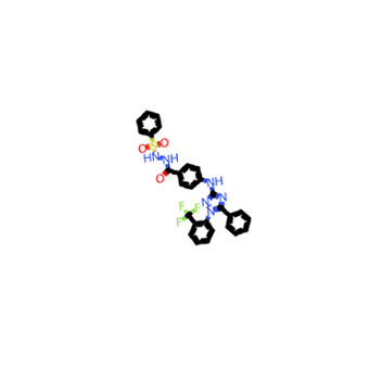 O=C(NNS(=O)(=O)c1ccccc1)c1ccc(Nc2nc(-c3ccccc3)n(-c3ccccc3C(F)(F)F)n2)cc1